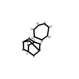 C1C2CC3CC1CC(C2)C3.C1CCCCCC1